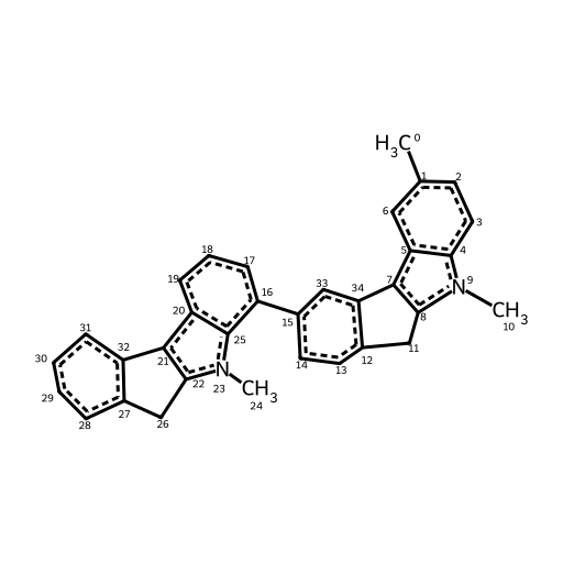 Cc1ccc2c(c1)c1c(n2C)Cc2ccc(-c3cccc4c5c(n(C)c34)Cc3ccccc3-5)cc2-1